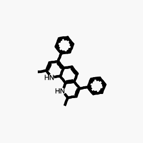 CC1=CC(c2ccccc2)=C2C=CC3=C(NC(C)C=C3c3ccccc3)C2N1